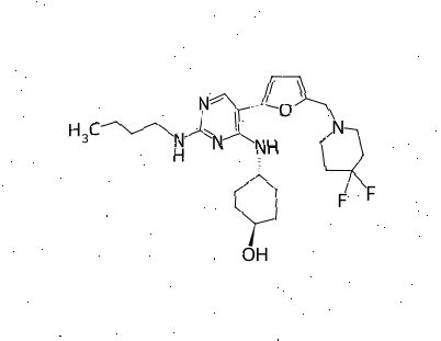 CCCCNc1ncc(-c2ccc(CN3CCC(F)(F)CC3)o2)c(N[C@H]2CC[C@H](O)CC2)n1